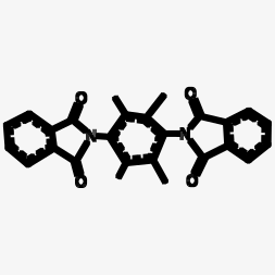 Cc1c(C)c(N2C(=O)c3ccccc3C2=O)c(C)c(C)c1N1C(=O)c2ccccc2C1=O